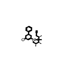 C#CC[C@@H](C)C(C)(C)[C@@H](C)[C@@H](C)CNC1=CC(=O)CC(c2ccccc2)C1